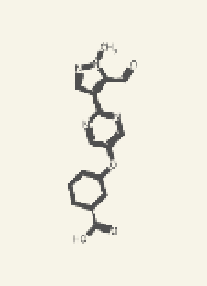 Cn1ncc(-c2ncc(OC3CCC[C@H](C(=O)O)C3)cn2)c1C=O